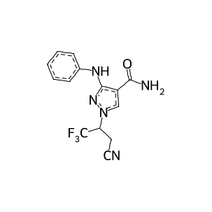 N#CCC(n1cc(C(N)=O)c(Nc2ccccc2)n1)C(F)(F)F